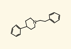 c1ccc(CCN2CCC(c3ccccc3)CC2)cc1